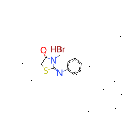 Br.CN1C(=O)CSC1=Nc1ccccc1